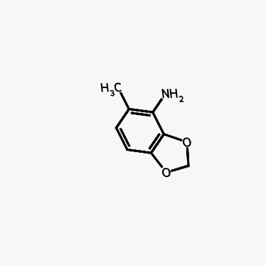 Cc1ccc2c(c1N)OCO2